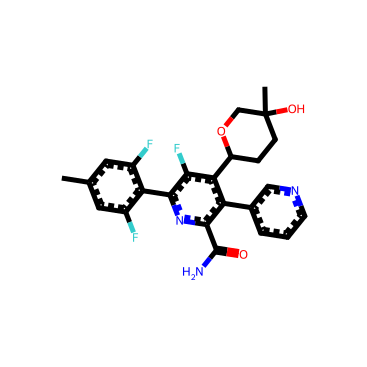 Cc1cc(F)c(-c2nc(C(N)=O)c(-c3cccnc3)c(C3CCC(C)(O)CO3)c2F)c(F)c1